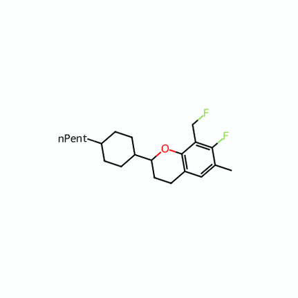 CCCCCC1CCC(C2CCc3cc(C)c(F)c(CF)c3O2)CC1